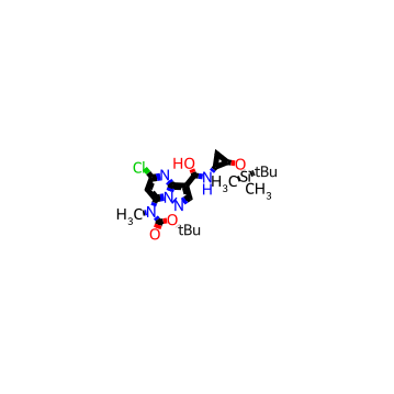 CN(C(=O)OC(C)(C)C)c1cc(Cl)nc2c(C(O)NC3CC3O[Si](C)(C)C(C)(C)C)cnn12